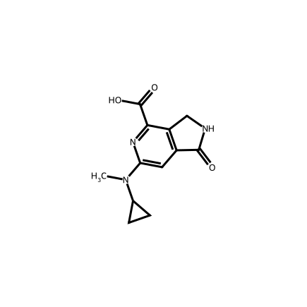 CN(c1cc2c(c(C(=O)O)n1)CNC2=O)C1CC1